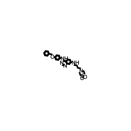 O=S1(=O)CCN(CCCCNc2ccc3c(Nc4ccc(OCc5ccccc5)cc4)ncnc3c2)CC1